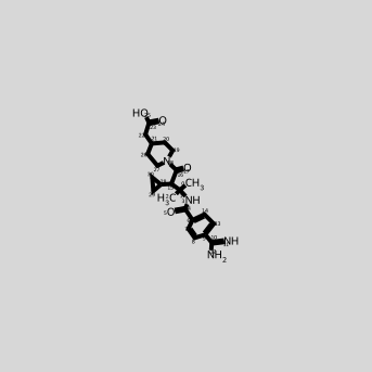 CC(C)(NC(=O)c1ccc(C(=N)N)cc1)C(C(=O)N1CCC(CC(=O)O)CC1)C1CC1